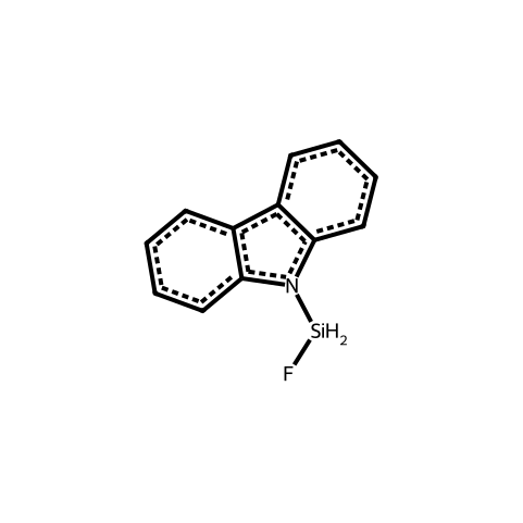 F[SiH2]n1c2ccccc2c2ccccc21